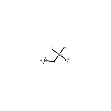 CCC[Si](C)(C)CN